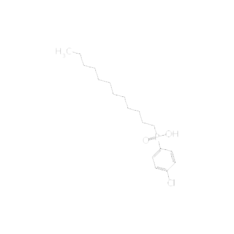 CCCCCCCCCCCCP(=O)(O)c1ccc(Cl)cc1